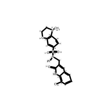 CC(C)N(Cc1cc2cccc(Cl)c2[nH]c1=O)S(=O)(=O)c1ccc2c(c1)OCCN2C